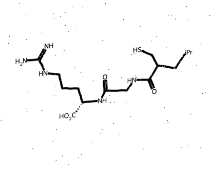 CC(C)CC(CS)C(=O)NCC(=O)N[C@@H](CCCNC(=N)N)C(=O)O